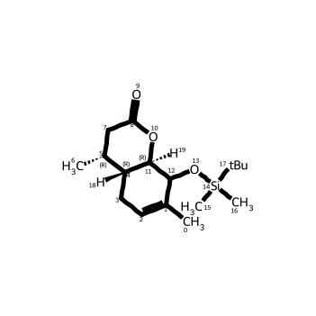 CC1=CC[C@@H]2[C@H](C)CC(=O)O[C@H]2C1O[Si](C)(C)C(C)(C)C